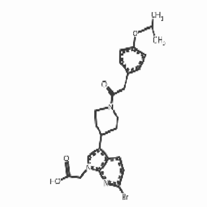 CC(C)Oc1ccc(CC(=O)N2CCC(c3cn(CC(=O)O)c4nc(Br)ccc34)CC2)cc1